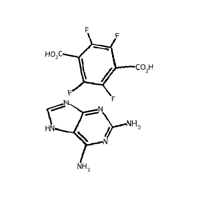 Nc1nc(N)c2[nH]cnc2n1.O=C(O)c1c(F)c(F)c(C(=O)O)c(F)c1F